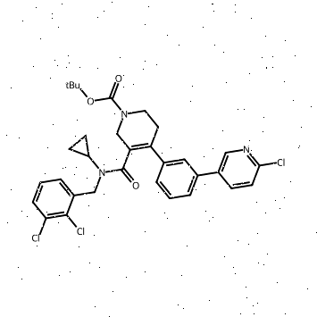 CC(C)(C)OC(=O)N1CCC(c2cccc(-c3ccc(Cl)nc3)c2)=C(C(=O)N(Cc2cccc(Cl)c2Cl)C2CC2)C1